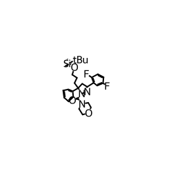 CC(C)(C)[Si](C)(C)OCCCC1(c2ccccc2)CC(c2cc(F)ccc2F)=NN1C(=O)N1CCOCC1